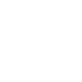 CCC(C)C1CC(Br)C(C(C)(C)C2C(Br)CC(OC(=O)OC(C)(CC)CC)CC2Br)C(Br)C1